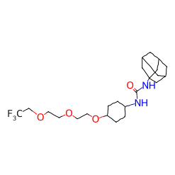 O=C(NC1CCC(OCCOCCOCC(F)(F)F)CC1)NC12CC3CC(CC(C3)C1)C2